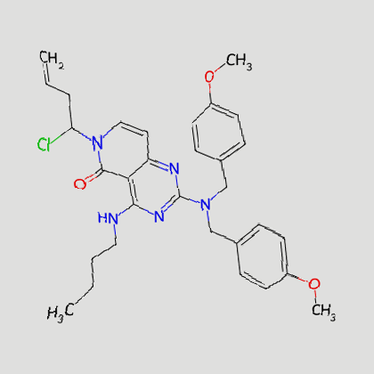 C=CCC(Cl)n1ccc2nc(N(Cc3ccc(OC)cc3)Cc3ccc(OC)cc3)nc(NCCCC)c2c1=O